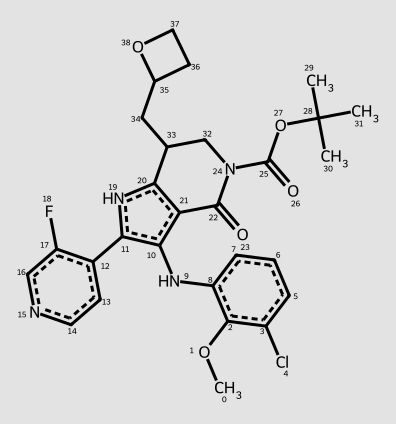 COc1c(Cl)cccc1Nc1c(-c2ccncc2F)[nH]c2c1C(=O)N(C(=O)OC(C)(C)C)CC2CC1CCO1